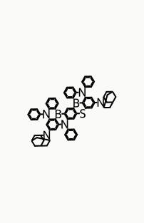 c1ccc(N2c3ccccc3B3c4cc5c(cc4Sc4cc(N6C7CC8CC(C7)CC6C8)cc2c43)N(c2ccccc2)c2cc(N3C4CC6CC(C4)CC3C6)cc3c2B5c2ccccc2N3c2ccccc2)cc1